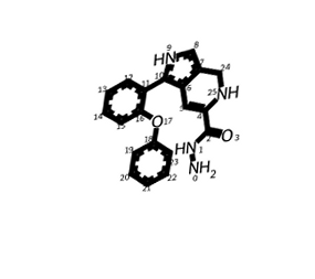 NNC(=O)C1=Cc2c(c[nH]c2-c2ccccc2Oc2ccccc2)CN1